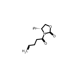 C=CCCC(=O)N1C(=O)OC[C@H]1C(C)C